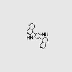 c1ccc2c(c1)ccc1[nH]c3cc4c(cc3c12)[nH]c1ccc2ccccc2c14